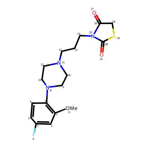 COc1cc(F)ccc1N1CCN(CCCN2C(=O)CSC2=O)CC1